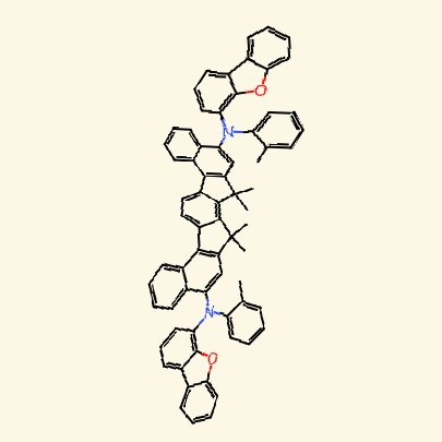 Cc1ccccc1N(c1cc2c(c3ccccc13)-c1ccc3c(c1C2(C)C)C(C)(C)c1cc(N(c2ccccc2C)c2cccc4c2oc2ccccc24)c2ccccc2c1-3)c1cccc2c1oc1ccccc12